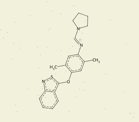 Cc1cc(Oc2snc3ccccc23)c(C)cc1/N=C/N1CCCC1